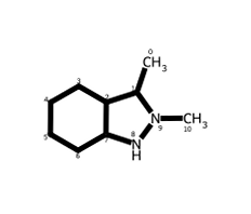 CC1C2CCCCC2NN1C